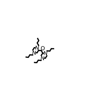 CCCCN1CCN(CCCC)C(C(=O)C2CN(CCCC)CCN2CCCC)C1